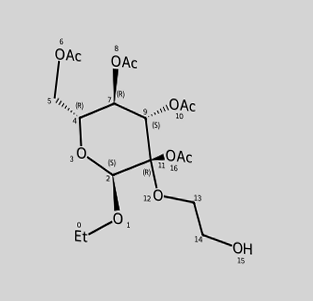 CCO[C@H]1O[C@H](COC(C)=O)[C@@H](OC(C)=O)[C@H](OC(C)=O)[C@@]1(OCCO)OC(C)=O